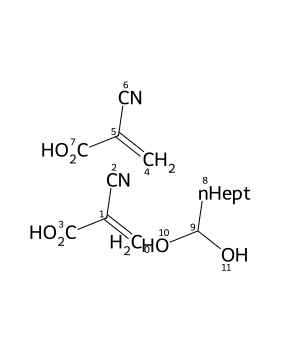 C=C(C#N)C(=O)O.C=C(C#N)C(=O)O.CCCCCCCC(O)O